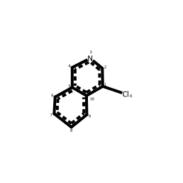 Clc1cncc2ccccc12